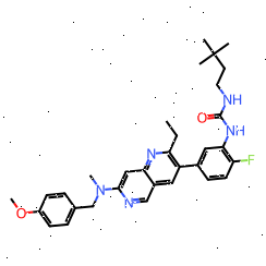 CCc1nc2cc(N(C)Cc3ccc(OC)cc3)ncc2cc1-c1ccc(F)c(NC(=O)NCCC(C)(C)C)c1